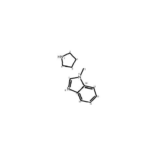 C1CCNC1.Cn1cnc2ccccc21